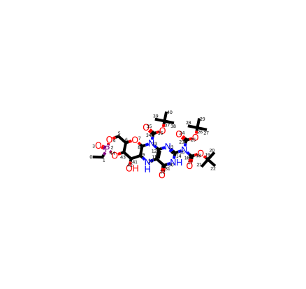 CCP1(=O)OCC2OC3C(Nc4c(nc(N(C(=O)OC(C)(C)C)C(=O)OC(C)(C)C)[nH]c4=O)N3C(=O)OC(C)(C)C)C(O)C2O1